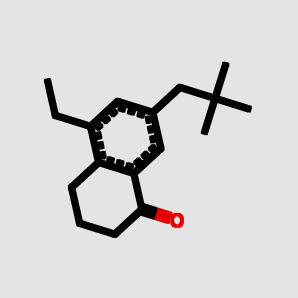 CCc1cc(CC(C)(C)C)cc2c1CCCC2=O